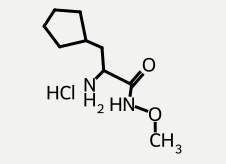 CONC(=O)C(N)CC1CCCC1.Cl